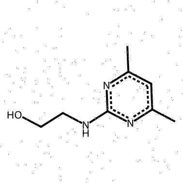 Cc1cc(C)nc(NCCO)n1